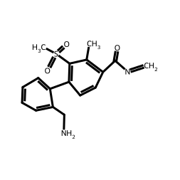 C=NC(=O)c1ccc(-c2ccccc2CN)c(S(C)(=O)=O)c1C